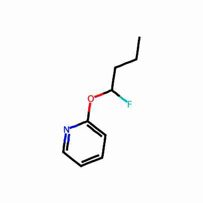 CCCC(F)Oc1ccccn1